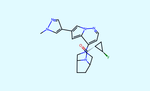 Cn1cc(-c2cc3c(N4CC5CCC(C4)N5C(=O)[C@@H]4C[C@H]4F)ccnn3c2)cn1